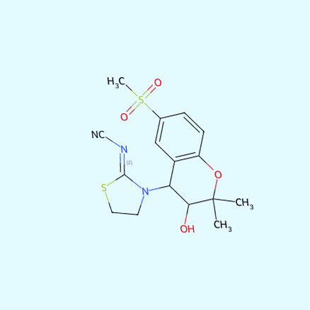 CC1(C)Oc2ccc(S(C)(=O)=O)cc2C(N2CCS/C2=N\C#N)C1O